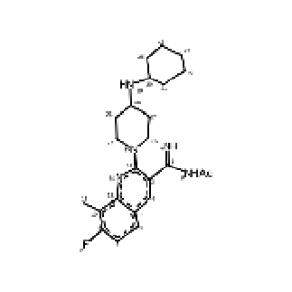 CC(=O)NC(=N)c1cc2ccc(F)c(C)c2nc1N1CCC(NC2CCCCC2)CC1